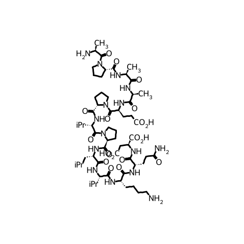 CC(C)C[C@H](NC(=O)[C@@H]1CCCN1C(=O)[C@@H](NC(=O)[C@@H]1CCCN1C(=O)[C@H](CCC(=O)O)NC(=O)[C@H](C)NC(=O)[C@H](C)NC(=O)[C@@H]1CCCN1C(=O)[C@H](C)N)C(C)C)C(=O)N[C@H](C(=O)N[C@@H](CCCCN)C(=O)N[C@@H](CCC(N)=O)C(=O)N[C@@H](CC(=O)O)C(=O)O)C(C)C